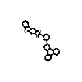 c1cc(-c2ccc3c4ccccc4c4ccccc4c3c2)nc(-c2nc3cc4oc5ccccc5c4cc3o2)c1